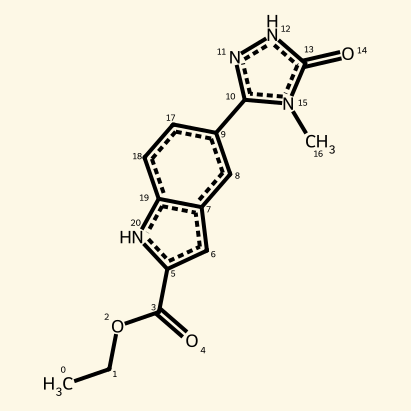 CCOC(=O)c1cc2cc(-c3n[nH]c(=O)n3C)ccc2[nH]1